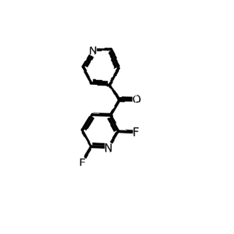 O=C(c1ccncc1)c1ccc(F)nc1F